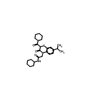 CC(C)c1ccc2c(c1)SC(C(=O)N1CCCCC1)C(=O)N2CC(=O)NC1CCCCC1